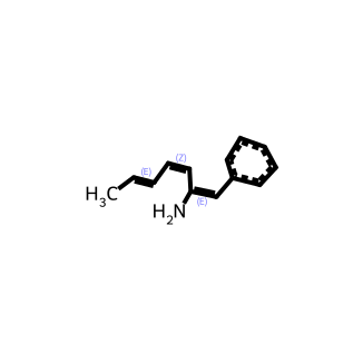 C/C=C/C=C\C(N)=C/c1ccccc1